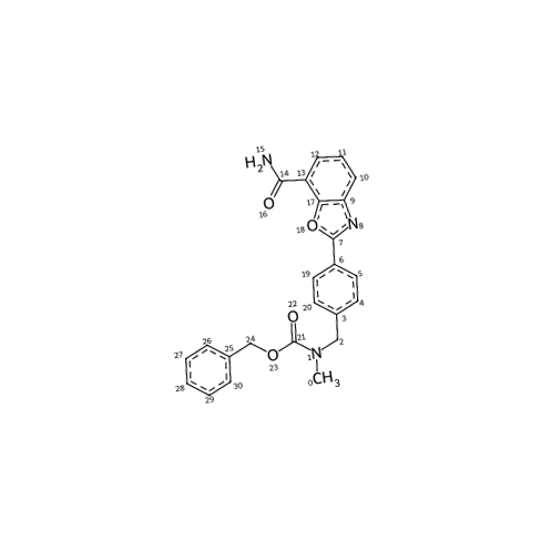 CN(Cc1ccc(-c2nc3cccc(C(N)=O)c3o2)cc1)C(=O)OCc1ccccc1